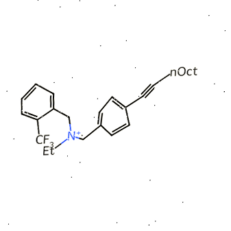 CCCCCCCCC#Cc1ccc(C[N+](CC)Cc2ccccc2C(F)(F)F)cc1